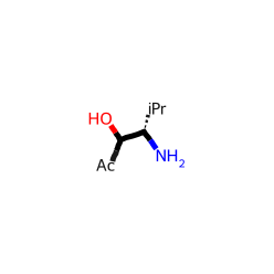 CC(=O)C(O)[C@@H](N)C(C)C